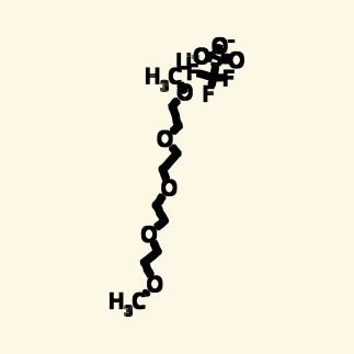 COCCOCCOCCOCCOC.O=S(=O)([O-])C(F)(F)F.[Li+]